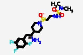 CN(C)S(=O)(=O)NCC[S+]([O-])N1CCC([C@H](N)Cc2cc(F)c(F)cc2F)CC1